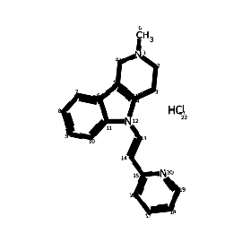 CN1CCc2c(c3ccccc3n2/C=C/c2ccccn2)C1.Cl